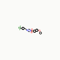 O=S(=O)(c1ccc2cc(OC3CCCC3)ccc2c1)N1CCN(CCc2ccc(C(F)(F)F)cc2)CC1